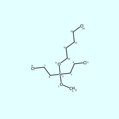 CO[Si](CCCl)(CCCl)OCCCCCl